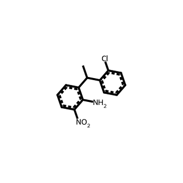 CC(c1ccccc1Cl)c1cccc([N+](=O)[O-])c1N